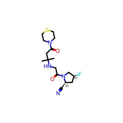 CC(C)(CC(=O)N1CCSCC1)NCC(=O)N1C[C@@H](F)C[C@H]1C#N